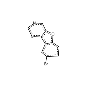 Brc1ccc2oc3cncnc3c2c1